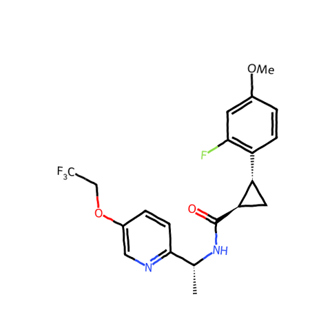 COc1ccc([C@@H]2C[C@H]2C(=O)N[C@H](C)c2ccc(OCC(F)(F)F)cn2)c(F)c1